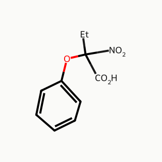 CCC(Oc1ccccc1)(C(=O)O)[N+](=O)[O-]